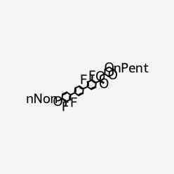 CCCCCCCCCOc1ccc(-c2ccc(-c3ccc(C(=O)OC4COC(CCCCC)OC4)c(F)c3F)cc2)c(F)c1F